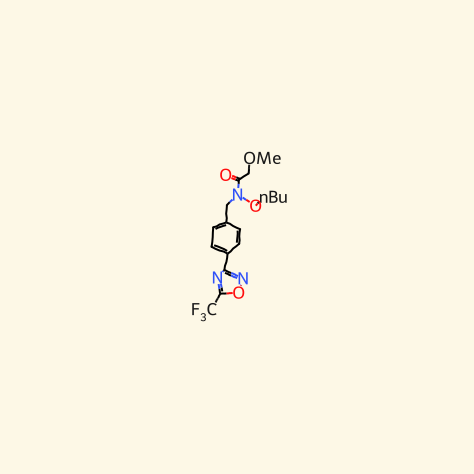 CCCCON(Cc1ccc(-c2noc(C(F)(F)F)n2)cc1)C(=O)COC